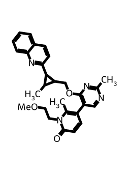 COCCn1c(C)c(-c2cnc(C)nc2OCC2C(C)C2c2ccc3ccccc3n2)ccc1=O